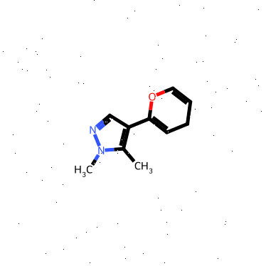 Cc1c(C2=CCC=CO2)cnn1C